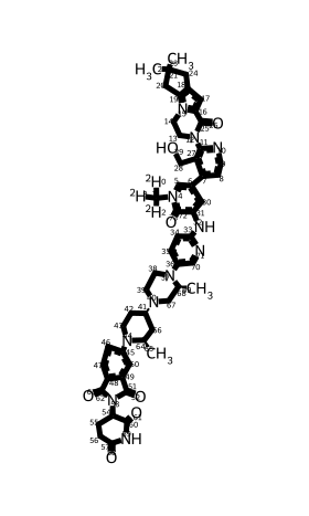 [2H]C([2H])([2H])n1cc(-c2ccnc(N3CCn4c(cc5c4CC(C)(C)C5)C3=O)c2CO)cc(Nc2ccc(N3CCN([C@H]4CCN(c5ccc6c(c5)C(=O)N(C5CCC(=O)NC5=O)C6=O)[C@H](C)C4)C[C@@H]3C)cn2)c1=O